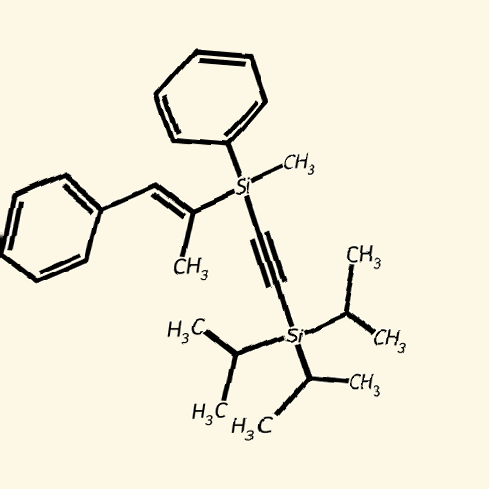 C/C(=C\c1ccccc1)[Si](C)(C#C[Si](C(C)C)(C(C)C)C(C)C)c1ccccc1